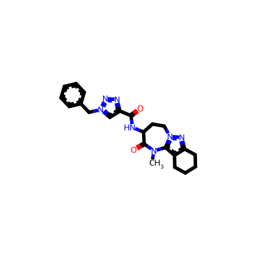 CN1C(=O)C(NC(=O)c2cn(Cc3ccccc3)nn2)CCn2nc3c(c21)CCCC3